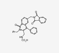 CC(C)Cn1c(CNC(=O)O)c(-c2ccccc2)c2cc(CN3C(=O)c4ccccc4C3=O)ccc2c1=O